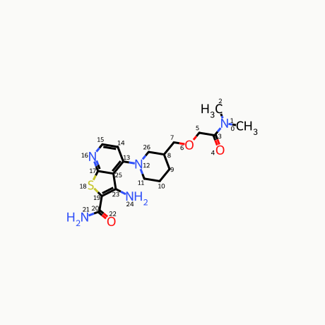 CN(C)C(=O)COCC1CCCN(c2ccnc3sc(C(N)=O)c(N)c23)C1